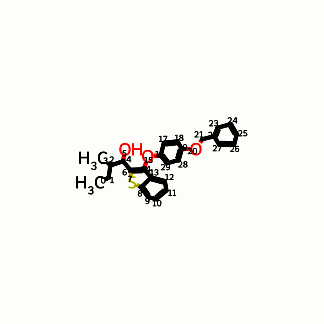 CCC(C)C(O)c1sc2ccccc2c1Oc1ccc(OCc2ccccc2)cc1